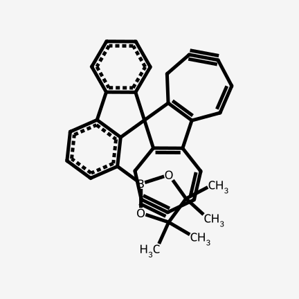 CC1(C)OB(c2cccc3c2C2(C4=C(C=CC#CC4)C4=C2CC#CC=C4)c2ccccc2-3)OC1(C)C